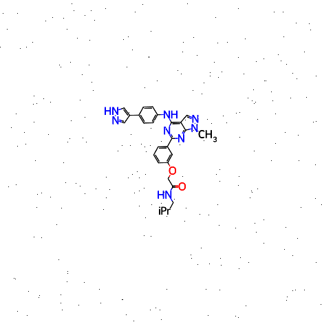 CC(C)CNC(=O)COc1cccc(-c2nc(Nc3ccc(-c4cn[nH]c4)cc3)c3cnn(C)c3n2)c1